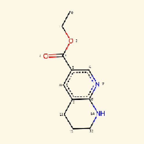 CCOC(=O)c1cnc2c(c1)CCCN2